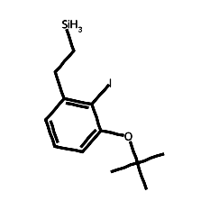 CC(C)(C)Oc1cccc(CC[SiH3])c1I